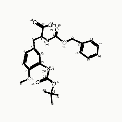 COc1ccc(CC(NC(=O)OCc2ccccc2)C(=O)O)cc1NC(=O)OC(C)(C)C